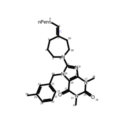 CCCCC/C=C1\CCCN(c2nc3c(c(=O)n(C)c(=O)n3C)n2Cc2cccc(C)c2)CC1